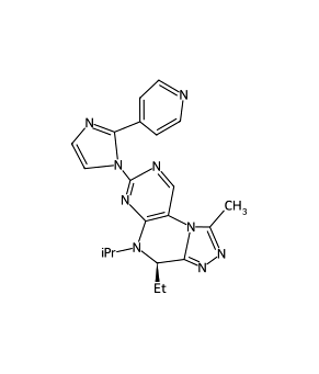 CC[C@@H]1c2nnc(C)n2-c2cnc(-n3ccnc3-c3ccncc3)nc2N1C(C)C